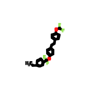 CCc1ccc(C(F)(F)Oc2ccc(CCc3ccc(OC(F)F)cc3)cc2)cc1